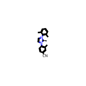 Cc1cc(C#N)ccc1N1C=CN(c2c(C)cccc2C)[C@H]1C